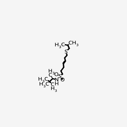 CC(C)CSCC/C=C/CCCS(=O)(=O)N[C@H](C)C(C)(C)C